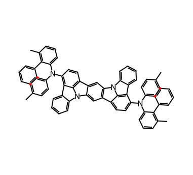 Cc1ccc(N(c2cccc(C)c2-c2ccccc2)c2ccc3c4cc5c(cc4n4c6ccccc6c2c34)c2ccc(N(c3ccc(C)cc3)c3cccc(C)c3-c3ccccc3)c3c4ccccc4n5c23)cc1